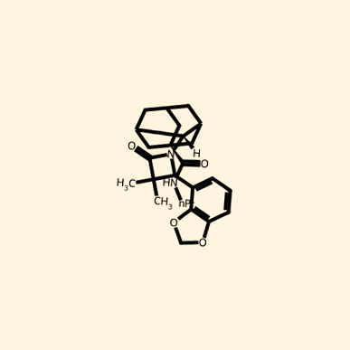 CCCNC(=O)[C@]12CC3CC(C1)[C@@H](N1C(=O)C(C)(C)C1c1cccc4c1OCO4)C(C3)C2